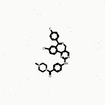 CN1CCN(C(=O)c2ccc(Nc3ncc4c(n3)-c3ccc(Cl)cc3C(c3ccc(F)cc3)=NC4)cc2)CC1